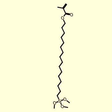 C=C(C)C(=O)OCCCCCCCCCCCCCCCC[Si](OC)(OC)OC